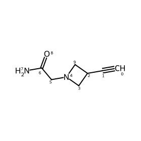 C#CC1CN(CC(N)=O)C1